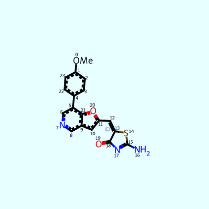 COc1ccc(-c2cncc3cc(/C=C4/SC(N)=NC4=O)oc23)cc1